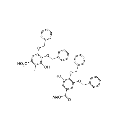 COC(=O)c1cc(O)c(OCc2ccccc2)c(OCc2ccccc2)c1.Cc1c(C(=O)O)cc(OCc2ccccc2)c(OCc2ccccc2)c1O